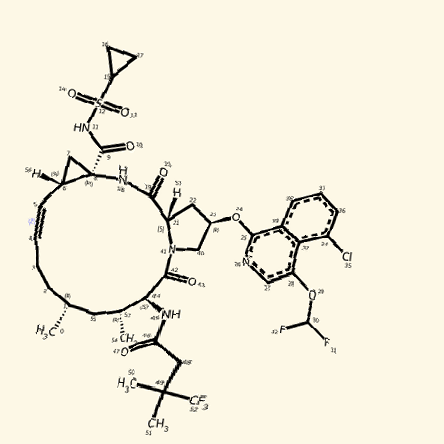 C[C@@H]1CC/C=C\[C@@H]2C[C@@]2(C(=O)NS(=O)(=O)C2CC2)NC(=O)[C@@H]2C[C@@H](Oc3ncc(OC(F)F)c4c(Cl)cccc34)CN2C(=O)[C@@H](NC(=O)CC(C)(C)C(F)(F)F)[C@H](C)C1